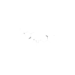 CC(=O)C(C)(C)CC(C)C(=O)C(C)(C)NCCC(C)C(=O)C(C)(C)C